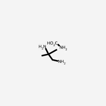 CC(C)(N)CN.NC(=O)O